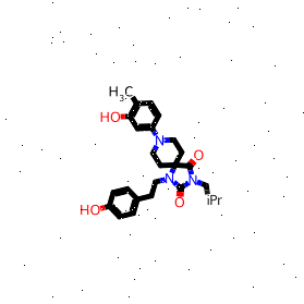 Cc1ccc(N2CCC3(CC2)C(=O)N(CC(C)C)C(=O)N3CCc2ccc(O)cc2)cc1O